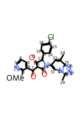 COc1ncccc1C(=O)C1C(=O)C(c2ccc(Cl)cc2)N(c2cc(C)c3nnc(C)n3c2)C1=O